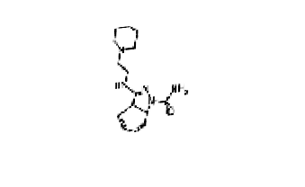 NC(=O)N1N=C(NCCN2CCCCC2)C2C=C[C]=CC21